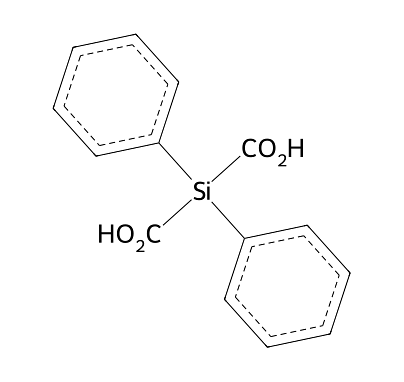 O=C(O)[Si](C(=O)O)(c1ccccc1)c1ccccc1